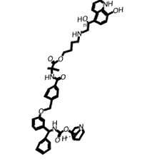 CC(C)(NC(=O)c1ccc(COc2cccc(C(NC(=O)O[C@H]3CN4CCC3CC4)c3ccccc3)c2)cc1)C(=O)OCCCCNC[C@@H](O)c1ccc(O)c2[nH]c(=O)ccc12